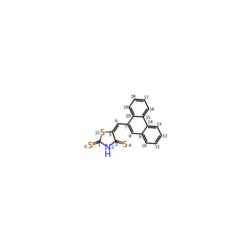 S=C1NC(=S)C(=Cc2cc3ccccc3c3ccccc23)S1